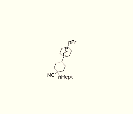 CCCCCCC[C@]1(C#N)CC[C@H](C23CCC(CCC)(CC2)CC3)CC1